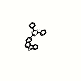 c1ccc(C2=NC(c3ccc4ccc5oc6ccccc6c5c4c3)=NC(c3ccccc3)N2)cc1